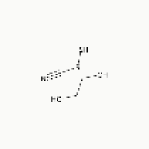 N#CSS.OCCO